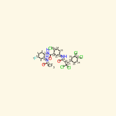 O=C(Nc1ccc(F)cc1NC(=O)C(F)(F)F)c1cc(NC(=O)C2C(c3ccc(Cl)c(Cl)c3)C2(Cl)Cl)ccc1Cl